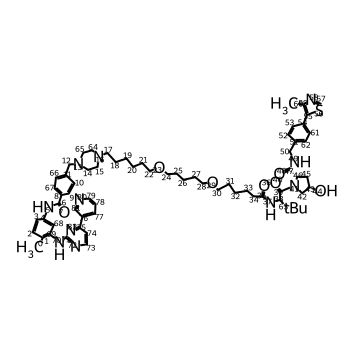 Cc1ccc(NC(=O)c2ccc(CN3CCN(CCCCCCOCCCCCOCCCCCC(=O)NC(C(=O)N4C[C@H](O)C[C@H]4C(=O)NCc4ccc(-c5scnc5C)cc4)C(C)(C)C)CC3)cc2)cc1Nc1nccc(-c2cccnc2)n1